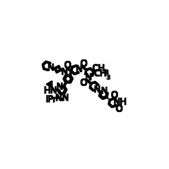 CC(C)n1cnc2cc(-c3ccc4c(c3)N(C3CC(N5CCCCC5)C3)C(=O)C43CCN(C(=O)C4CN(C(=O)C5CCN(c6ccc([C@H]7CCC(=O)NC7=O)cn6)CC5)CC(C)(C)C4)CC3)nc(NC3CC3)c21